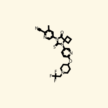 Cc1cc(N2C(=O)C3(CCC3)N(c3ccc(OC4CCN(CC(F)(F)F)CC4)nc3)C2=S)cnc1C#N